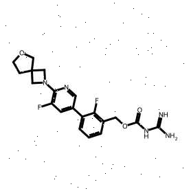 N=C(N)NC(=O)OCc1cccc(-c2cnc(N3CC4(CCOC4)C3)c(F)c2)c1F